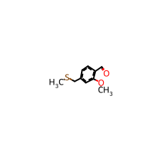 COc1cc(CSC)ccc1C=O